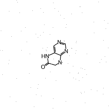 O=C1C[N]c2ncncc2N1